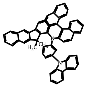 CC1(C)c2cc3ccccc3cc2-c2cccc(N(c3cccc(-n4c5ccccc5c5ccccc54)c3)c3ccc4ccccc4c3-c3cccc4ccccc34)c21